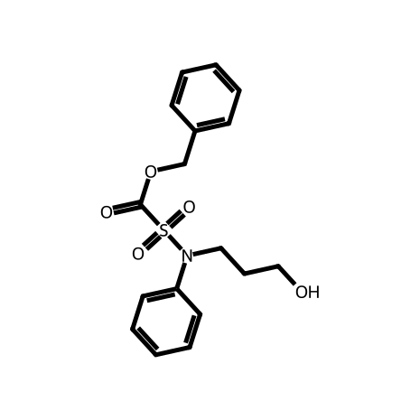 O=C(OCc1ccccc1)S(=O)(=O)N(CCCO)c1ccccc1